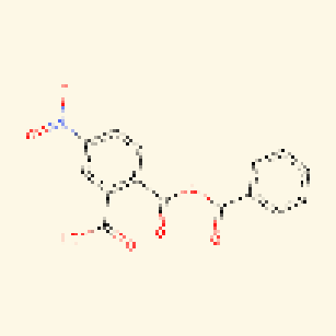 O=C(OC(=O)c1ccc([N+](=O)[O-])cc1C(=O)O)c1ccccc1